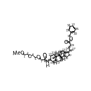 COCCOCCOCC(=O)N[C@H]1CC[C@@]2(C)[C@H](CC[C@@H]3[C@@H]2CC[C@]2(C)[C@@H]([C@H](C)CCC(=O)OCc4ccccc4)CC[C@@H]32)C1